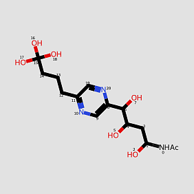 CC(=O)NC(O)CC(O)C(O)c1cnc(CCCC(O)(O)O)cn1